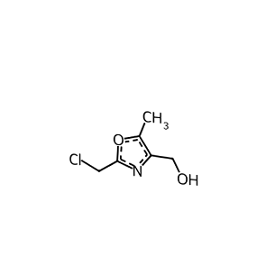 Cc1oc(CCl)nc1CO